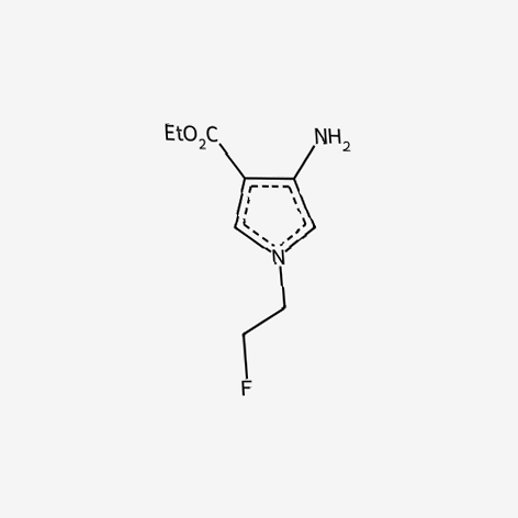 CCOC(=O)c1cn(CCF)cc1N